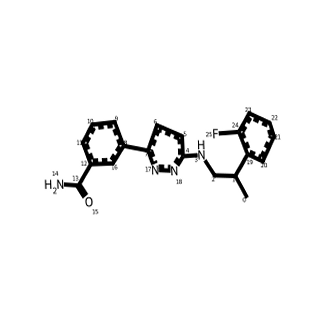 CC(CNc1ccc(-c2cccc(C(N)=O)c2)nn1)c1ccccc1F